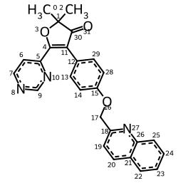 CC1(C)OC(c2ccncn2)=C(c2ccc(OCc3ccc4ccccc4n3)cc2)C1=O